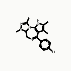 CC1=NN(C)C2CN=C(c3ccc(Cl)cc3)C3=C(BC(C)=C3C)N12